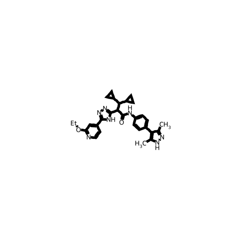 CCOc1cc(-c2nnc(C(C(=O)Nc3ccc(-c4c(C)n[nH]c4C)cc3)C(C3CC3)C3CC3)[nH]2)ccn1